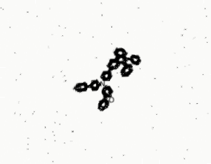 c1ccc(-c2ccc(N(c3ccc(-c4ccc5c(c4)c(-c4ccccc4)c(-c4ccccc4)c4ccccc45)cc3)c3ccc4oc5ccccc5c4c3)cc2)cc1